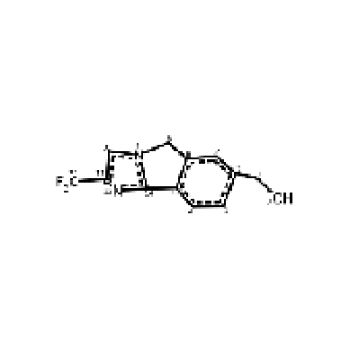 OCc1ccc2c(c1)Cn1cc(C(F)(F)F)nc1-2